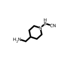 N#CBN1CCC(CN)CC1